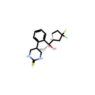 O=C(O)[C@](O)(c1ccccc1C1CNC(=S)NC1)[C@@H]1CCC(F)(F)C1